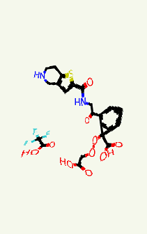 O=C(O)C(F)(F)F.O=C(O)COOC1(C(=O)O)c2cccc(C(=O)CNC(=O)c3cc4c(s3)CCNC4)c21